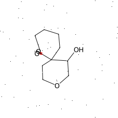 OC1COCCC12CCCCC21OCCO1